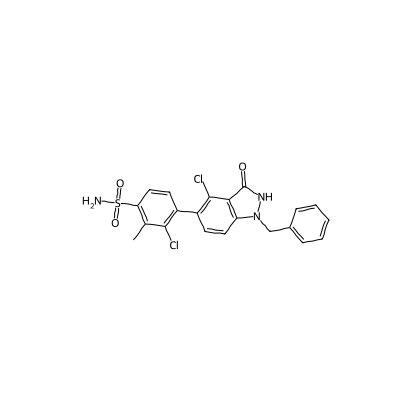 Cc1c(S(N)(=O)=O)ccc(-c2ccc3c(c2Cl)c(=O)[nH]n3Cc2ccccc2)c1Cl